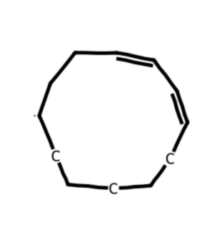 [CH]1CCC=CC=CCCCCC1